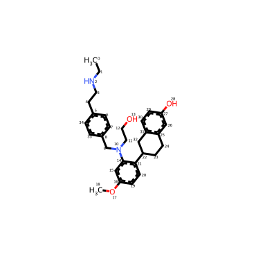 CCNCCc1ccc(CN(CCO)c2cc(OC)ccc2C2CCc3cc(O)ccc3C2)cc1